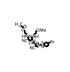 C=CC(=O)OCCCNc1nc(NCCCOC)c(N=Nc2nn(-c3nc4ccc(C(C)C)cc4s3)cc2C#N)c(C)c1C#N